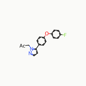 CC(=O)Cn1nccc1-c1ccc(Oc2ccc(F)cc2)cc1